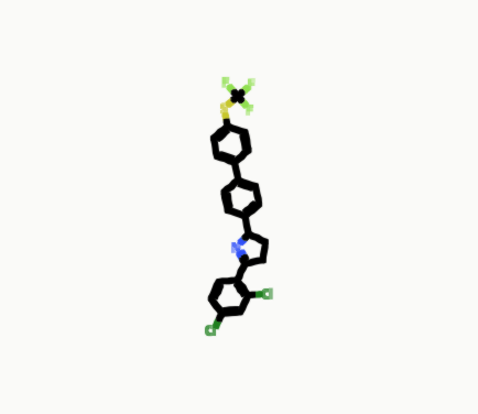 FC(F)(F)Sc1ccc(-c2ccc(C3CCC(c4ccc(Cl)cc4Cl)=N3)cc2)cc1